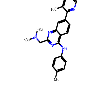 CCCCN(CCCC)Cc1nc(Nc2ccc(C(F)(F)F)cc2)c2ccc(-c3ncccc3C(F)(F)F)cc2n1